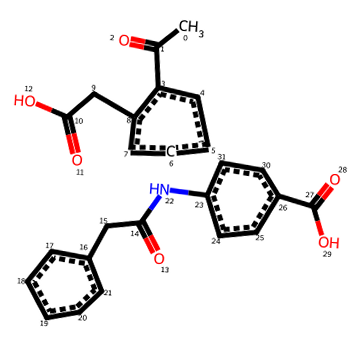 CC(=O)c1ccccc1CC(=O)O.O=C(Cc1ccccc1)Nc1ccc(C(=O)O)cc1